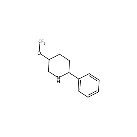 FC(F)(F)OC1CCC(c2ccccc2)NC1